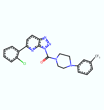 O=C(N1CCN(c2cccc(C(F)(F)F)c2)CC1)n1nnc2ccc(-c3ccccc3Cl)nc21